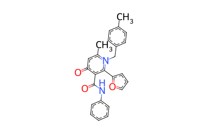 Cc1ccc(Cn2c(C)cc(=O)c(C(=O)Nc3ccccc3)c2-c2ccco2)cc1